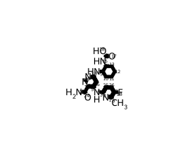 Cc1nc(Nc2cc(NC3CCCCC3NC(=O)O)nnc2C(N)=O)ccc1F